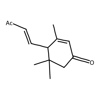 CC(=O)C=CC1C(C)=CC(=O)CC1(C)C